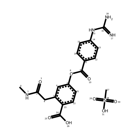 CNC(=O)Cc1cc(OC(=O)c2ccc(NC(=N)N)cc2)ccc1C(=O)O.CS(=O)(=O)O